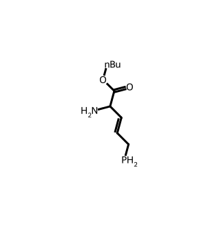 CCCCOC(=O)C(N)/C=C/CP